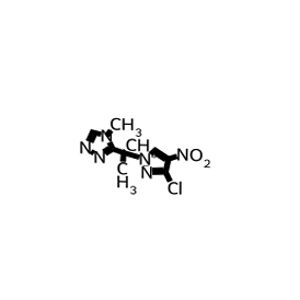 Cn1cnnc1C(C)(C)n1cc([N+](=O)[O-])c(Cl)n1